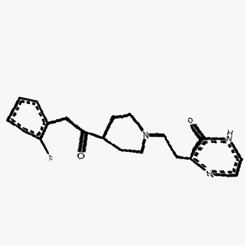 O=C(Cc1ccccc1F)C1CCN(CCc2ncc[nH]c2=O)CC1